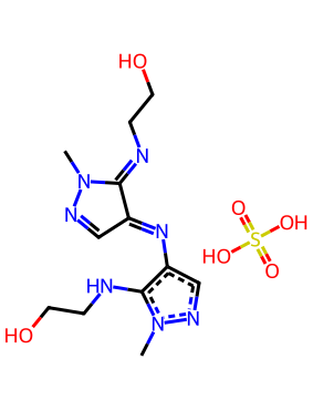 CN1N=CC(=Nc2cnn(C)c2NCCO)C1=NCCO.O=S(=O)(O)O